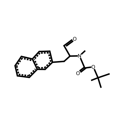 CN(C(=O)OC(C)(C)C)C(C=O)Cc1ccc2ccccc2c1